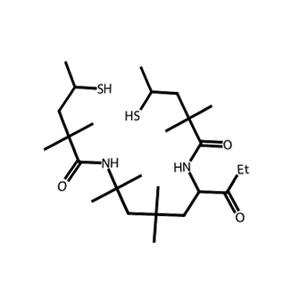 CCC(=O)C(CC(C)(C)CC(C)(C)NC(=O)C(C)(C)CC(C)S)NC(=O)C(C)(C)CC(C)S